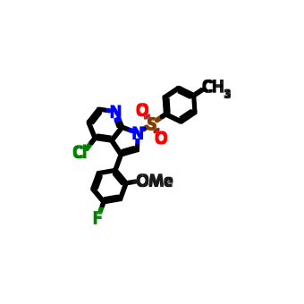 COc1cc(F)ccc1-c1cn(S(=O)(=O)c2ccc(C)cc2)c2nccc(Cl)c12